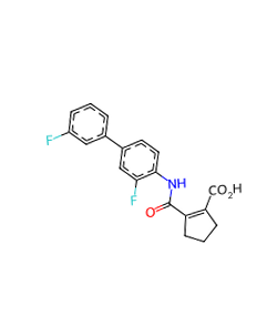 O=C(O)C1=C(C(=O)Nc2ccc(-c3cccc(F)c3)cc2F)CCC1